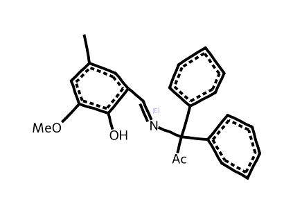 COc1cc(C)cc(/C=N/C(C(C)=O)(c2ccccc2)c2ccccc2)c1O